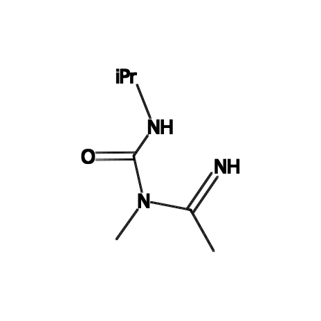 CC(=N)N(C)C(=O)NC(C)C